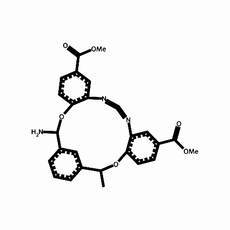 COC(=O)c1ccc2c(c1)N=C=Nc1cc(C(=O)OC)ccc1OC(N)c1cccc(c1)C(C)O2